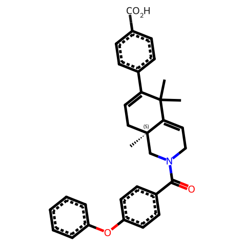 CC1(C)C(c2ccc(C(=O)O)cc2)=CC[C@]2(C)CN(C(=O)c3ccc(Oc4ccccc4)cc3)CC=C12